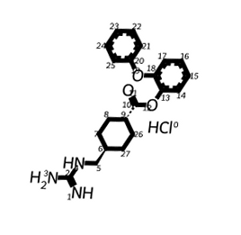 Cl.N=C(N)NC[C@H]1CC[C@H](C(=O)Oc2ccccc2Oc2ccccc2)CC1